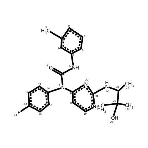 Cc1cccc(NC(=O)N(c2ccc(F)cc2)c2ccnc(NC(C)C(C)(C)O)n2)c1